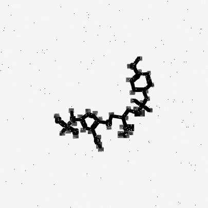 COc1ccc(CC(C)(C)NCC(O)COc2ccc(N(C)S(C)(=O)=O)cc2C#N)cc1.Cl